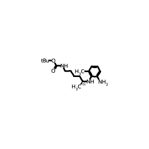 Cc1cccc(N)c1N[C@@H](C)CCCCNC(=O)OC(C)(C)C